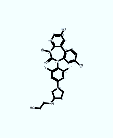 CCN1C(=O)N(c2c(F)cc(N3CCC(NCCO)C3)cc2F)c2cc(C#N)ccc2-c2cc(Cl)cnc21